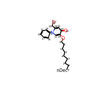 CCCCCCCCCCCCCCCCCCOc1cn(-c2ccccc2)c(CBr)cc1=O